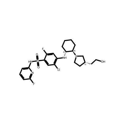 O=S(=O)(Nc1cccc(F)n1)c1cc(Cl)c(N[C@@H]2CCCC[C@H]2N2CC[C@@H](CCO)C2)cc1F